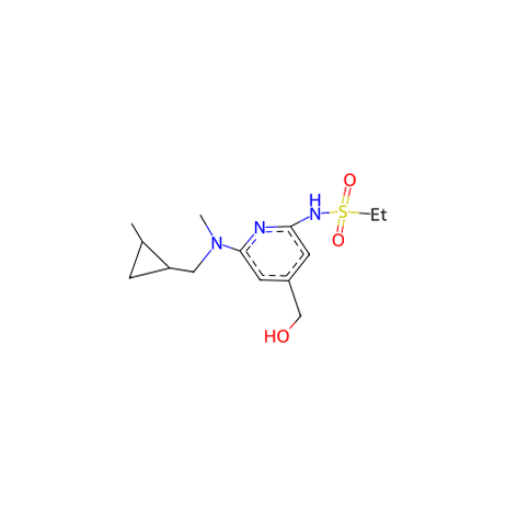 CCS(=O)(=O)Nc1cc(CO)cc(N(C)CC2CC2C)n1